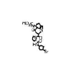 O=C(O)N[C@H]1CCc2ccn3c2C1C(=O)C[C@H](C(=O)N1CCC[C@H]1C(=O)Nc1ccc(Br)cc1)C3